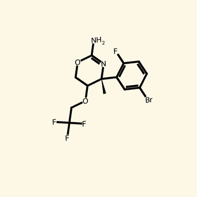 C[C@]1(c2cc(Br)ccc2F)N=C(N)OCC1OCC(F)(F)F